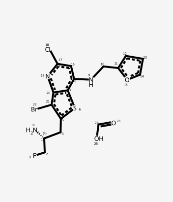 N[C@@H](CF)Cc1sc2c(NCc3ccco3)cc(Cl)nc2c1Br.O=CO